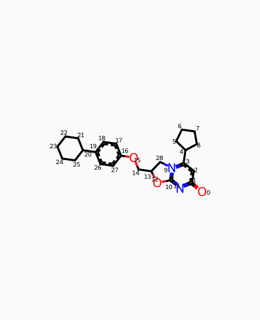 O=c1cc(C2CCCC2)n2c(n1)OC(COc1ccc(C3CCCCC3)cc1)C2